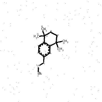 CC(C)(C)OCc1ccc2c(c1)C(C)(C)CCC2(C)C